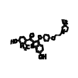 CC[C@H]1CCN(CCOc2ccc(Oc3c(C(=O)c4ccc(O)cc4C)sc4cc(O)ccc34)cc2)C1